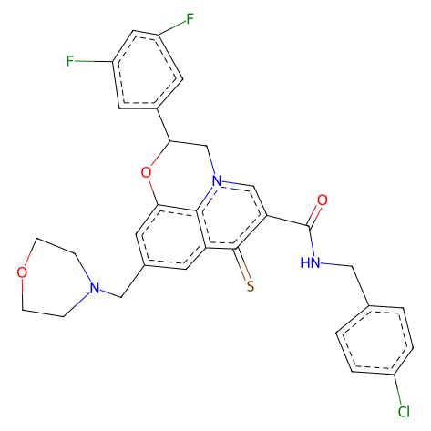 O=C(NCc1ccc(Cl)cc1)c1cn2c3c(cc(CN4CCOCC4)cc3c1=S)OC(c1cc(F)cc(F)c1)C2